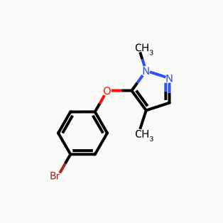 Cc1cnn(C)c1Oc1ccc(Br)cc1